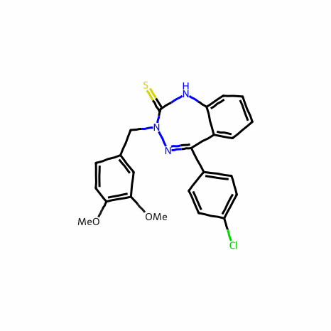 COc1ccc(CN2N=C(c3ccc(Cl)cc3)c3ccccc3NC2=S)cc1OC